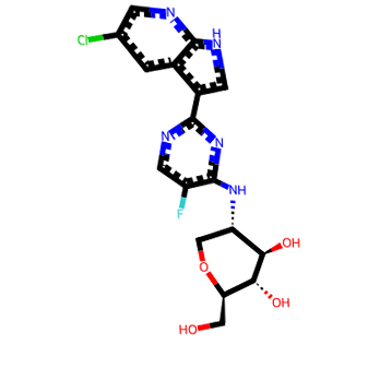 OC[C@H]1OC[C@H](Nc2nc(-c3c[nH]c4ncc(Cl)cc34)ncc2F)[C@@H](O)[C@@H]1O